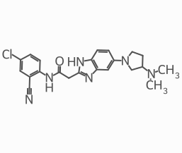 CN(C)C1CCN(c2ccc3[nH]c(CC(=O)Nc4ccc(Cl)cc4C#N)nc3c2)C1